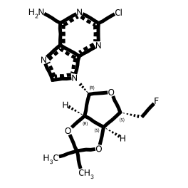 CC1(C)O[C@@H]2[C@H](O1)[C@@H](CF)O[C@H]2n1cnc2c(N)nc(Cl)nc21